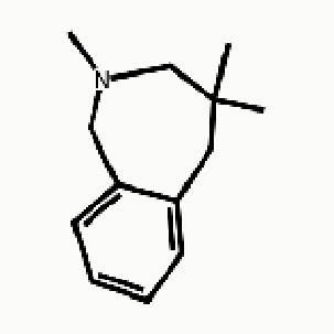 CN1Cc2ccccc2CC(C)(C)C1